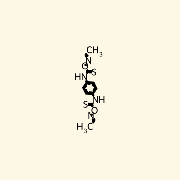 CC=NOC(=S)Nc1ccc(NC(=S)ON=CC)cc1